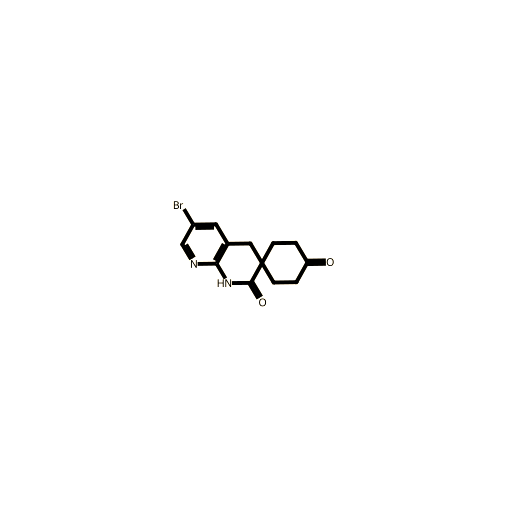 O=C1CCC2(CC1)Cc1cc(Br)cnc1NC2=O